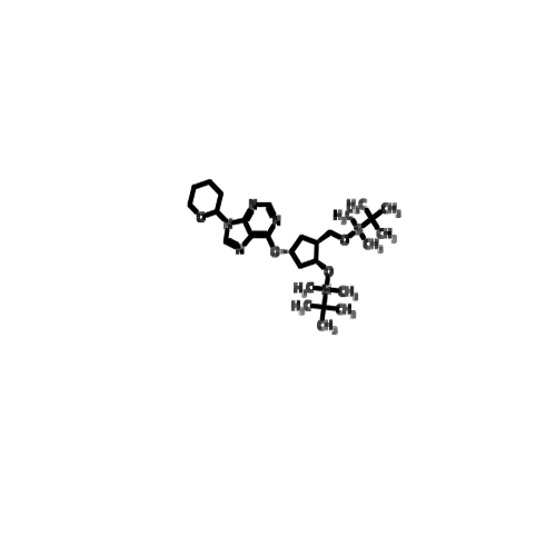 CC(C)(C)[Si](C)(C)OC[C@@H]1C[C@@H](Oc2ncnc3c2ncn3C2CCCCO2)C[C@@H]1O[Si](C)(C)C(C)(C)C